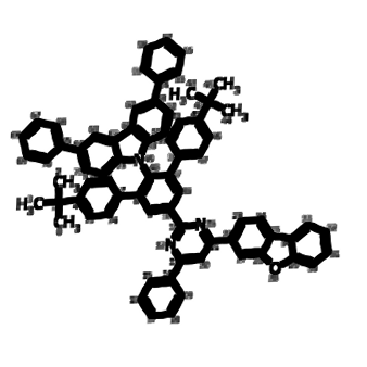 CC(C)(C)c1ccc(-c2cc(-c3nc(-c4ccccc4)cc(-c4ccc5c(c4)oc4ccccc45)n3)cc(-c3ccc(C(C)(C)C)cc3)c2-n2c3ccc(-c4ccccc4)cc3c3cc(-c4ccccc4)ccc32)cc1